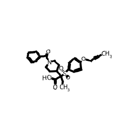 CC#CCOc1ccc(S(=O)(=O)C(CC)(C(=O)O)C2CCN(C(=O)c3ccccc3)CC2)cc1